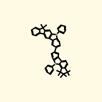 CC1(C)c2ccccc2-c2cc3c4cc(-c5ccc6c(c5)c5ccc7c(c5n6-c5ccccc5)C(C)(C)C(C)(C)C7(C)C)ccc4n(-c4ccccc4)c3cc21